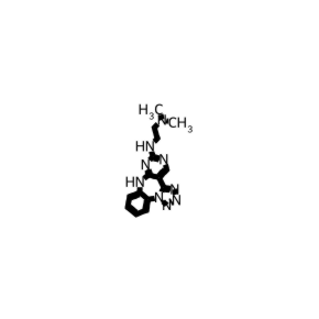 CN(C)CCNc1ncc2c(n1)Nc1ccccc1-n1nnnc1-2